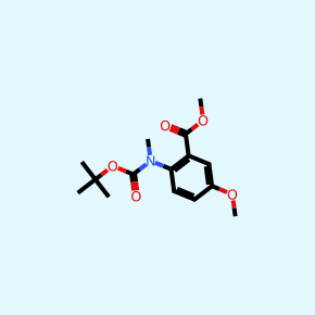 COC(=O)c1cc(OC)ccc1N(C)C(=O)OC(C)(C)C